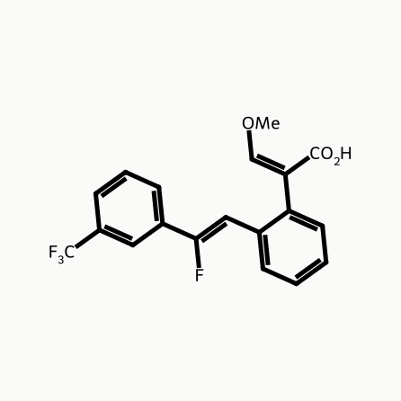 COC=C(C(=O)O)c1ccccc1C=C(F)c1cccc(C(F)(F)F)c1